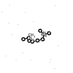 Cc1cc(-c2ccccc2)c2ccc3ccc(-c4ccc(-c5cccc(-c6nc(-c7ccccc7)nc(-c7ccccc7)n6)c5)cc4)nc3c2n1